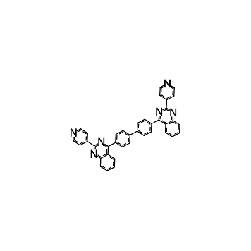 c1ccc2c(-c3ccc(-c4ccc(-c5nc(-c6ccncc6)nc6ccccc56)cc4)cc3)nc(-c3ccncc3)nc2c1